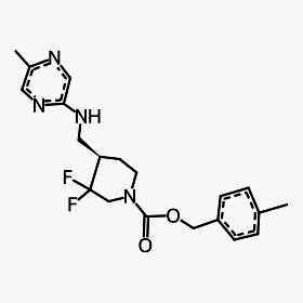 Cc1ccc(COC(=O)N2CC[C@H](CNc3cnc(C)cn3)C(F)(F)C2)cc1